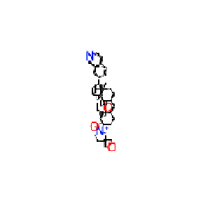 CC12CC=C3C=C4CCC([N+]5([O-])CCC6(COC6)C5)C[C@]45CC[C@]3(O5)[C@@H]1CCC2c1ccc2ccncc2c1